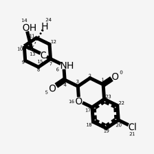 O=C1CC(C(=O)NC23CC[C](CC2)[C@@H](O)C3)Oc2ccc(Cl)cc21